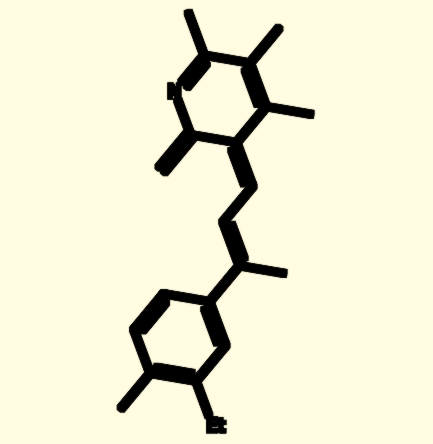 C=c1nc(C)c(C)c(C)/c1=C/C=C(\C)c1ccc(C)c(CC)c1